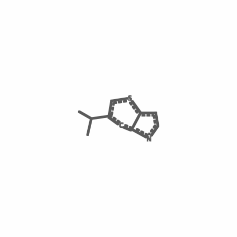 CC(C)c1csc2ccnc-2c1